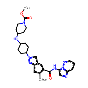 COc1cc2nn(C3CCC(NC4CCN(C(=O)OC(C)(C)C)CC4)CC3)cc2cc1C(=O)Nc1cnc2cccnn12